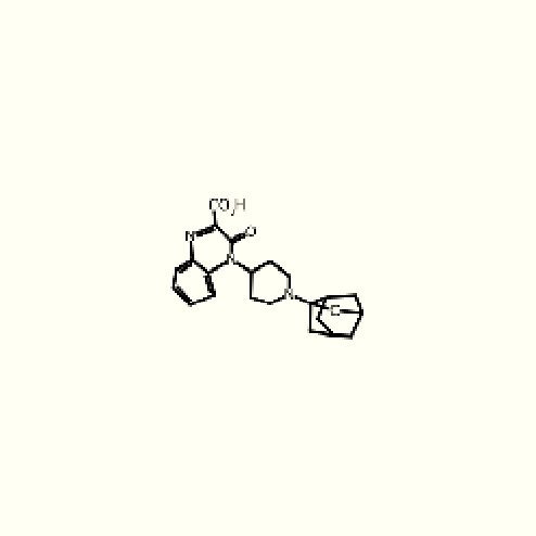 O=C(O)c1nc2ccccc2n(C2CCN(C34CC5CC(CC3C5)C4)CC2)c1=O